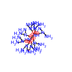 NCCCN(CCCN)CCCOCC(COCCCN(CCCN)CCCN)(NC(=O)C(OCCCN(CCCN)CCCN)C(OCCCN(CCCN)CCCN)C(=O)NC(COCCCN(CCCN)CCCN)(COCCN(CCCN)CCCN)OCCCN(CCCN)CCCN)OCCCN(CCCN)CCCN